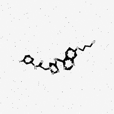 O=C(Cn1cc(Nc2ncnc3cc(OCCCCl)ccc23)nn1)Nc1cccc(F)c1